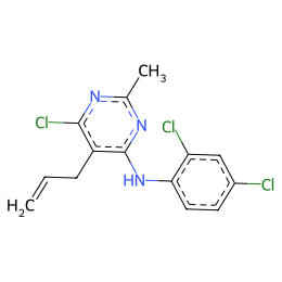 C=CCc1c(Cl)nc(C)nc1Nc1ccc(Cl)cc1Cl